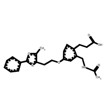 CC(=O)NCc1cc(OCCc2nc(-c3ccccc3)oc2C)ccc1CCC(=O)O